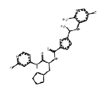 Cc1ncc(Cl)cc1NC(C)c1ccc(C(=O)NC(CC2CCCC2)C(=O)Nc2ccnc(Cl)c2)s1